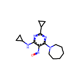 O=Nc1c(NC2CC2)nc(C2CC2)nc1N1CCCCCC1